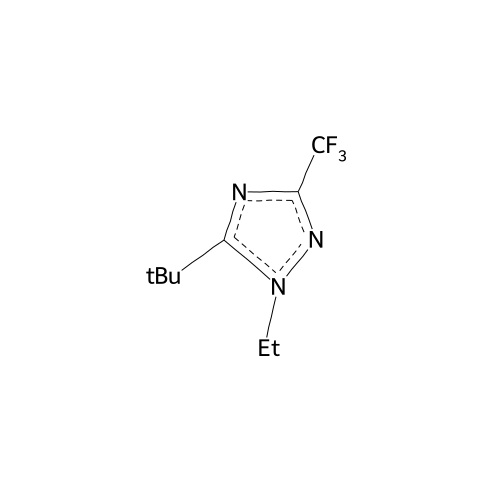 CCn1nc(C(F)(F)F)nc1C(C)(C)C